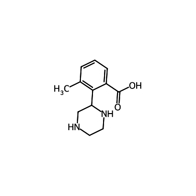 Cc1cccc(C(=O)O)c1C1CNCCN1